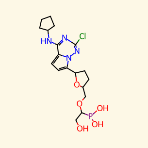 OCC(OCC1CCC(c2ccc3c(NC4CCCC4)nc(Cl)nn23)O1)P(O)O